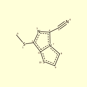 CSc1nc(C#N)n2ccsc12